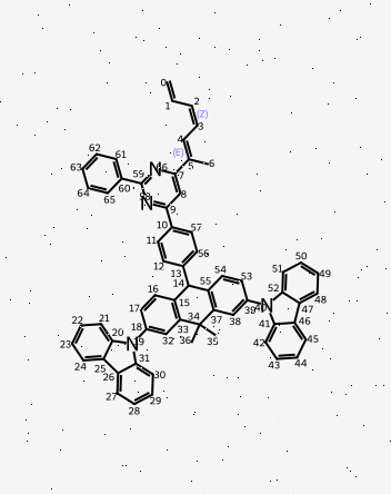 C=C/C=C\C=C(/C)c1cc(-c2ccc(C3c4ccc(-n5c6ccccc6c6ccccc65)cc4C(C)(C)c4cc(-n5c6ccccc6c6ccccc65)ccc43)cc2)nc(-c2ccccc2)n1